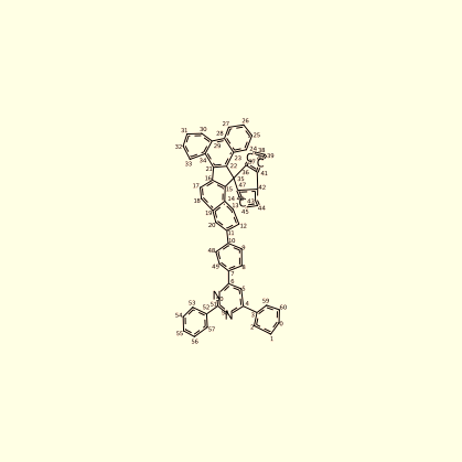 c1ccc(-c2cc(-c3ccc(-c4ccc5c6c(ccc5c4)-c4c(c5ccccc5c5ccccc45)C64c5ccccc5-c5ccccc54)cc3)nc(-c3ccccc3)n2)cc1